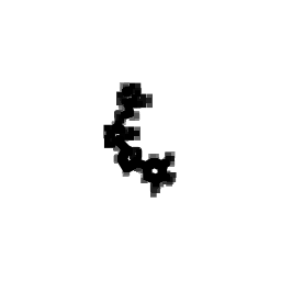 Fc1cc(-c2ccc(-c3nnc(SCc4ncn[nH]4)[nH]3)o2)cc(F)c1F